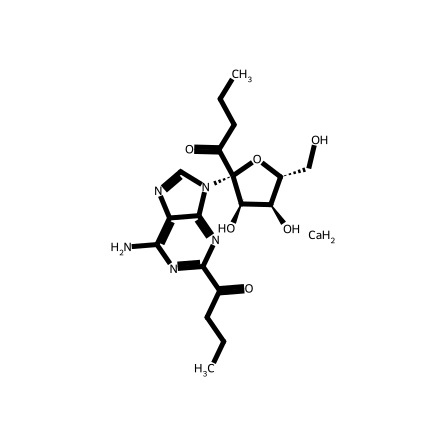 CCCC(=O)c1nc(N)c2ncn([C@]3(C(=O)CCC)O[C@H](CO)[C@@H](O)[C@H]3O)c2n1.[CaH2]